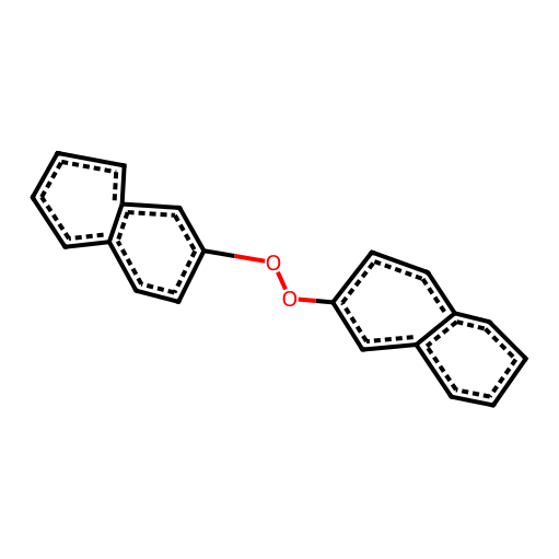 c1ccc2cc(OOc3ccc4ccccc4c3)ccc2c1